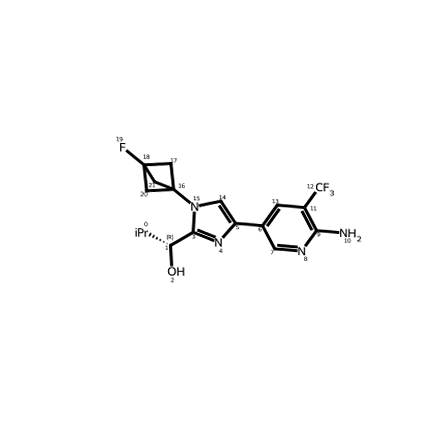 CC(C)[C@@H](O)c1nc(-c2cnc(N)c(C(F)(F)F)c2)cn1C12CC(F)(C1)C2